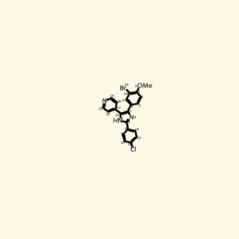 COc1ccc(-c2nc(-c3ccc(Cl)cc3)[nH]c2-c2ccncc2)cc1Br